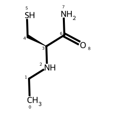 CCN[C@@H](CS)C(N)=O